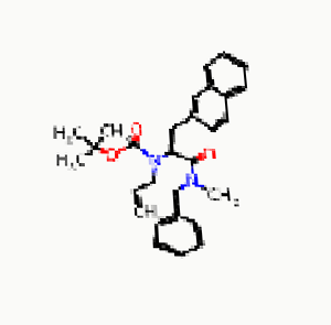 C=CCN(C(=O)OC(C)(C)C)C(Cc1ccc2ccccc2c1)C(=O)N(C)Cc1ccccc1